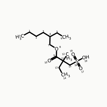 CCCCC(CC)COC(=O)C(C)(CC)CS(=O)(=O)O